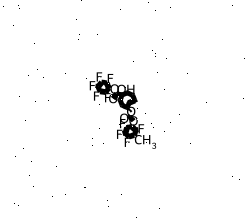 Cc1c(F)c(F)c(F)c(OC(=O)O[C@@H]2/C=C/CC[C@](O)(C(=O)Oc3c(F)c(F)c(F)c(F)c3F)CC2)c1F